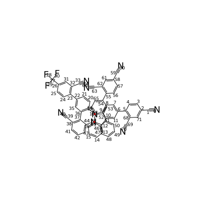 N#Cc1ccc(-c2ccc3c(c2)c2ccccc2n3-c2ccc(-c3ccc(C(F)(F)F)cc3C#N)cc2-c2c(C#N)cccc2-n2c3ccccc3c3cc(-c4ccc(C#N)cc4C#N)ccc32)c(C#N)c1